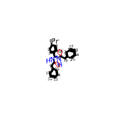 CC(C)c1ccc(C(NC(=O)Cc2ccccc2)NC(=O)Cc2ccccc2)cc1